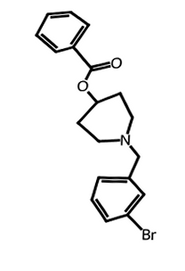 O=C(OC1CCN(Cc2cccc(Br)c2)CC1)c1ccccc1